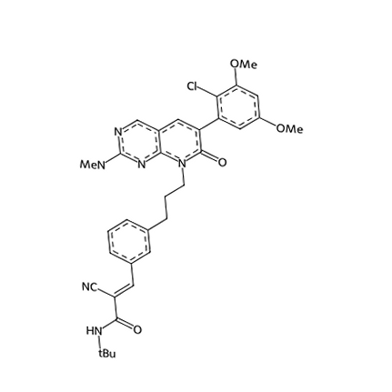 CNc1ncc2cc(-c3cc(OC)cc(OC)c3Cl)c(=O)n(CCCc3cccc(/C=C(\C#N)C(=O)NC(C)(C)C)c3)c2n1